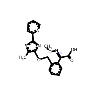 CO/N=C(/C(=O)O)c1ccccc1COc1nc(-c2ccccn2)sc1C